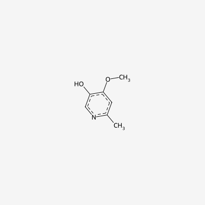 COc1cc(C)ncc1O